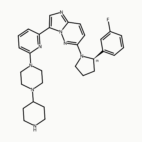 Fc1cccc([C@H]2CCCN2c2ccc3ncc(-c4cccc(N5CCN(C6CCNCC6)CC5)n4)n3n2)c1